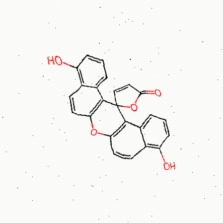 O=C1C=CC2(O1)c1c(ccc3c(O)cccc13)Oc1ccc3c(O)cccc3c12